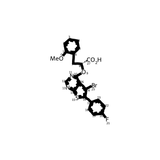 COc1ccccc1C[C@@H](Oc1ncnc2sc(-c3ccc(F)cc3)c(Br)c12)C(=O)O